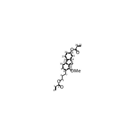 C=CC(=O)OCCCc1ccc2c(sc3cc(OC(=O)C=C)ccc32)c1OC